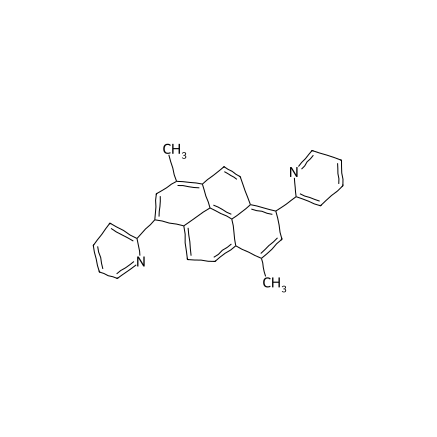 Cc1cc(-c2ccccn2)c2ccc3c(C)cc(-c4ccccn4)c4ccc1c2c34